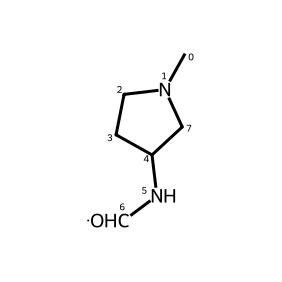 CN1CCC(N[C]=O)C1